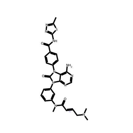 Cc1nnc(NC(=O)c2ccc(-n3c(=O)n(-c4cccc(N(C)C(=O)/C=C/CN(C)C)c4)c4ncnc(N)c43)cc2)s1